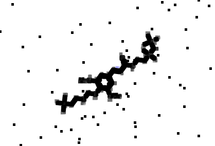 COc1cc(/C=C/C(=O)OCC[Si](C)(C)C[N+](C)(C)C)cc(OC)c1OCOCC[Si](C)(C)C